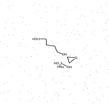 C1CO1.CCCCCCCCCCCCO.O=S(=O)(O)O.[NaH]